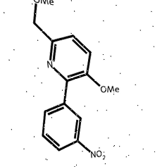 COCc1ccc(OC)c(-c2cccc([N+](=O)[O-])c2)n1